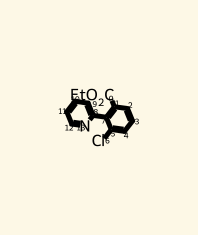 CCOC(=O)c1cccc(Cl)c1-c1ccccn1